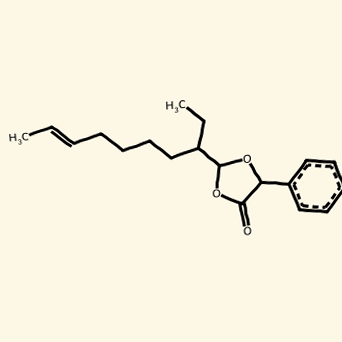 C/C=C/CCCCC(CC)C1OC(=O)C(c2ccccc2)O1